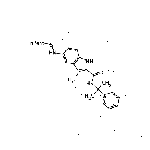 CCCCCSNc1ccc2[nH]c(C(=O)NC(C)(C)c3ccccc3)c(C)c2c1